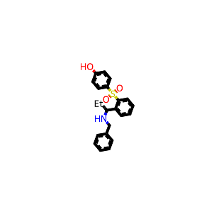 CCC(NCc1ccccc1)c1ccccc1S(=O)(=O)c1ccc(O)cc1